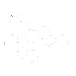 CCC(CCC1c2[nH]c3ccccc3c2CCN1C(=O)Cc1cccs1)(c1ccccc1)N(C)C